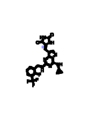 O=C1NC(=O)/C(=C/c2cnn3c(NC4CC4)nc(NCc4cccc(C(F)(F)F)c4F)nc23)N1